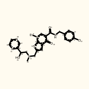 CCn1cc(C(=O)NCc2ccc(Cl)cc2)c(=O)c2cc(CN(C)CC(O)c3cnccn3)sc21